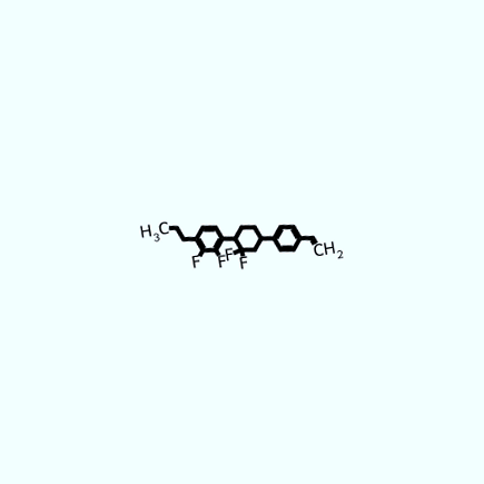 C=Cc1ccc(C2CCC(c3ccc(CCC)c(F)c3F)C(F)(F)C2)cc1